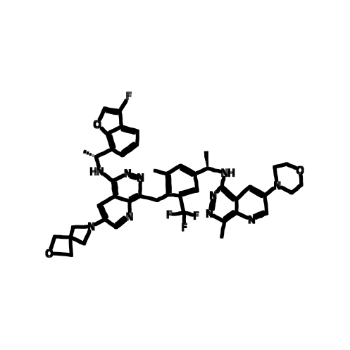 Cc1cc([C@@H](C)Nc2nnc(C)c3ncc(N4CCOCC4)cc23)cc(C(F)(F)F)c1Cc1nnc(N[C@H](C)c2cccc3c(F)coc23)c2cc(N3CC4(COC4)C3)cnc12